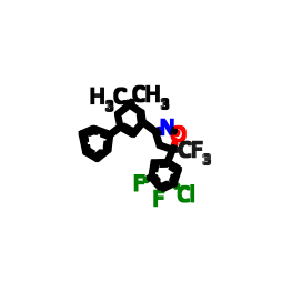 CC1(C)C=C(C2=NOC(c3cc(F)c(F)c(Cl)c3)(C(F)(F)F)C2)C=C(c2ccccc2)C1